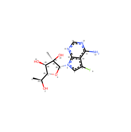 C[C@H](O)[C@H]1O[C@@H](n2cc(F)c3c(N)ncnc32)[C@](C)(O)[C@@H]1O